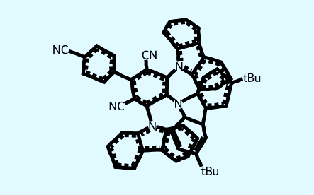 CC(C)(C)C1=CC2c3cc(C(C)(C)C)ccc3N(c3c(-n4c5ccccc5c5ccccc54)c(C#N)c(-c4ccc(C#N)cc4)c(C#N)c3-n3c4ccccc4c4ccccc43)C2C=C1